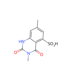 Cc1cc(S(=O)(=O)O)c2c(=O)n(C)c(=O)[nH]c2c1